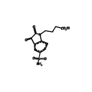 CCOC(=O)CCCN1C(=O)C(=O)c2cc(S(N)(=O)=O)ccc21